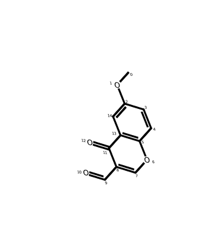 COc1ccc2occ(C=O)c(=O)c2c1